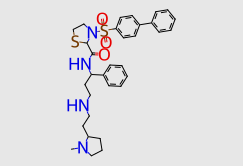 CN1CCCC1CCNCCC(NC(=O)C1SCCN1S(=O)(=O)c1ccc(-c2ccccc2)cc1)c1ccccc1